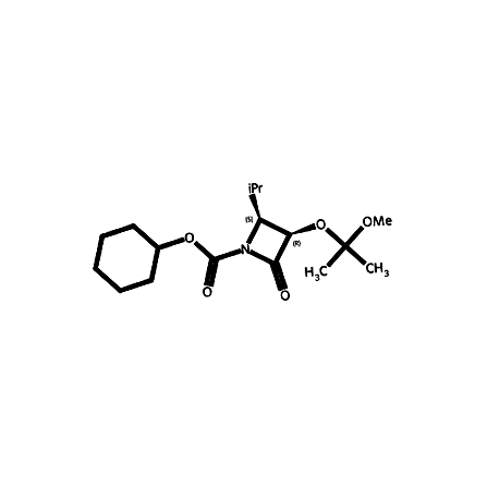 COC(C)(C)O[C@H]1C(=O)N(C(=O)OC2CCCCC2)[C@H]1C(C)C